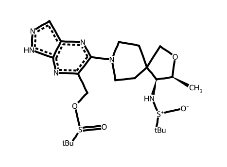 C[C@@H]1OCC2(CCN(c3nc4cn[nH]c4nc3COS(=O)C(C)(C)C)CC2)[C@@H]1N[S+]([O-])C(C)(C)C